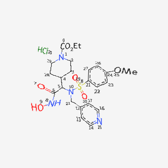 CCOC(=O)N1CCC(C(C(=O)NO)N(Cc2ccncc2)S(=O)(=O)c2ccc(OC)cc2)CC1.Cl